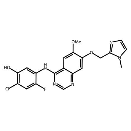 COc1cc2c(Nc3cc(O)c(Cl)cc3F)ncnc2cc1OCc1nccn1C